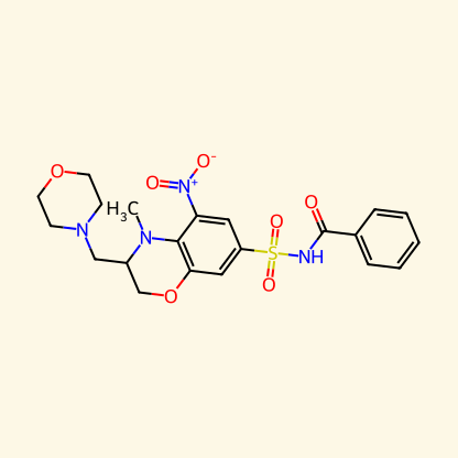 CN1c2c(cc(S(=O)(=O)NC(=O)c3ccccc3)cc2[N+](=O)[O-])OCC1CN1CCOCC1